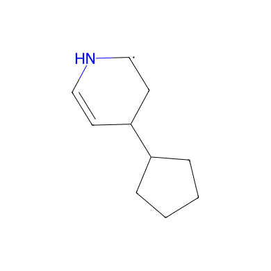 [CH]1CC(C2CCCC2)C=CN1